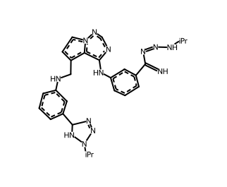 CC(C)N/N=N\C(=N)c1cccc(Nc2ncnn3ccc(CNc4cccc(C5N=NN(C(C)C)N5)c4)c23)c1